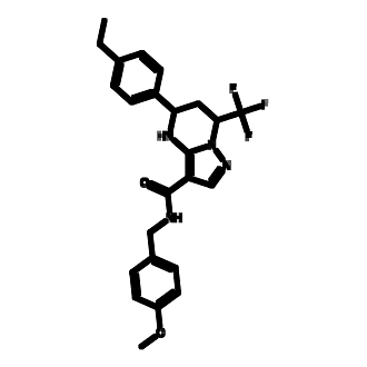 CCc1ccc(C2CC(C(F)(F)F)n3ncc(C(=O)NCc4ccc(OC)cc4)c3N2)cc1